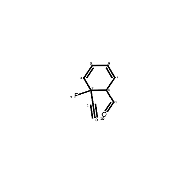 C#CC1(F)C=CC=CC1C=O